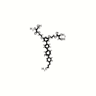 C=CCCC1CCC(c2ccc(-c3ccc(-c4cc(OCCOC(=O)C(=C)CO)cc(OCCOC(=O)C(=C)CO)c4)cc3)cc2F)CC1